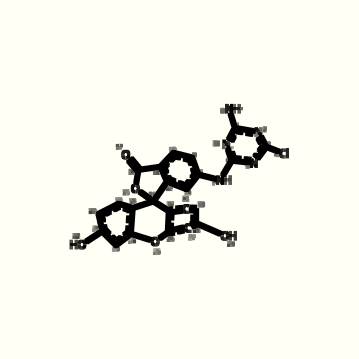 [NH]c1nc(Cl)nc(Nc2ccc3c(c2)C2(OC3=O)c3ccc(O)cc3Oc3cc(O)ccc32)n1